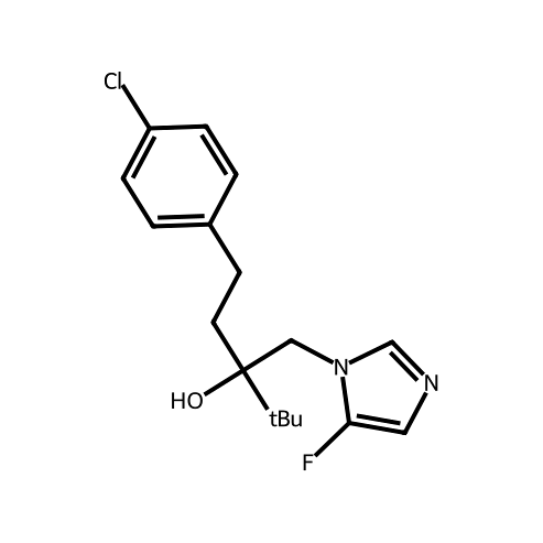 CC(C)(C)C(O)(CCc1ccc(Cl)cc1)Cn1cncc1F